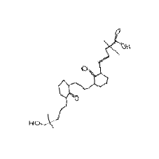 CC(C)(CO)CCCC1CCCC(CCC2CCCC(CCCC(C)(C)C(=O)O)C2=O)C1=O